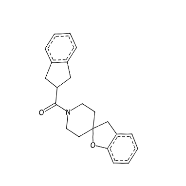 O=C(C1Cc2ccccc2C1)N1CCC2(CC1)Cc1ccccc1O2